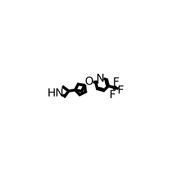 FC(F)(F)c1ccc(OC23CCC(C4CNC4)(C2)C3)nc1